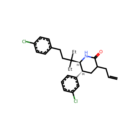 C=CCC1C[C@H](c2cccc(Cl)c2)[C@@H](C(CC)(CC)CCc2ccc(Cl)cc2)NC1=O